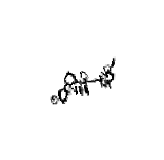 CCOc1ccc2nnc(CCC(=O)NC3CCCc4c3[nH]c3ccc(OC)cc43)n2n1